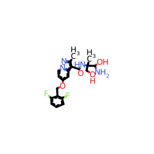 Cc1nn2ccc(OCc3c(F)cccc3F)cc2c1C(=O)NC(C)(CO)C(N)O